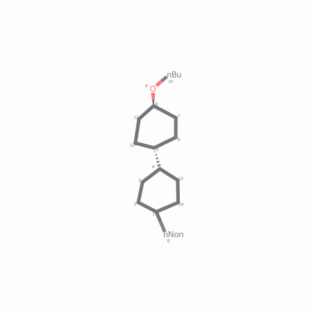 CCCCCCCCCC1CCC([C@H]2CC[C@H](OCCCC)CC2)CC1